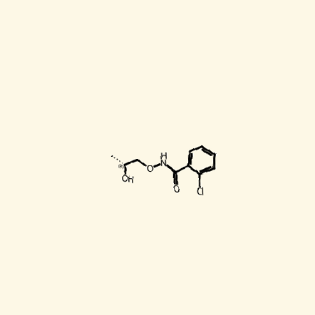 C[C@@H](O)CONC(=O)c1ccccc1Cl